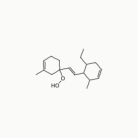 CCC1CC=CC(C)C1/C=C/C1(OO)CCC=C(C)C1